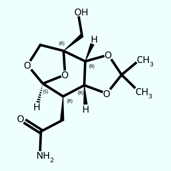 CC1(C)O[C@@H]2[C@@H](CC(N)=O)[C@H]3OC[C@@](CO)(O3)[C@@H]2O1